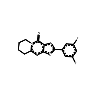 O=c1c2nc(-c3cc(F)cc(F)c3)oc2nc2n1CCCC2